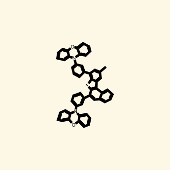 Cc1cc(-c2cccc(N3c4ccccc4Oc4ccccc43)c2)c2sc3c(-c4cccc(N5c6ccccc6Oc6ccccc65)c4)cc4ccccc4c3c2c1